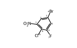 O=[N+]([O-])c1cc(Br)cc(F)c1Cl